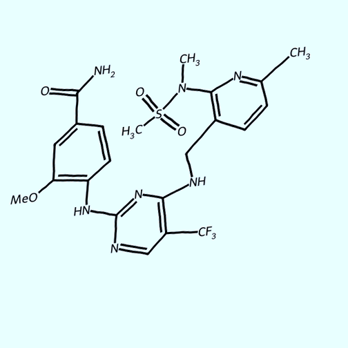 COc1cc(C(N)=O)ccc1Nc1ncc(C(F)(F)F)c(NCc2ccc(C)nc2N(C)S(C)(=O)=O)n1